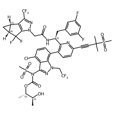 C[C@H](O)[C@H](C)OC(=O)N(c1nn(CC(F)(F)F)c2c(-c3ccc(C#CC(C)(C)S(C)(=O)=O)nc3[C@H](Cc3cc(F)cc(F)c3)NC(=O)Cn3nc(C(F)(F)F)c4c3C(F)(F)[C@@H]3C[C@H]43)ccc(Cl)c12)S(C)(=O)=O